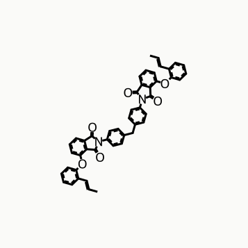 CC=Cc1ccccc1Oc1cccc2c1C(=O)N(c1ccc(Cc3ccc(N4C(=O)c5cccc(Oc6ccccc6C=CC)c5C4=O)cc3)cc1)C2=O